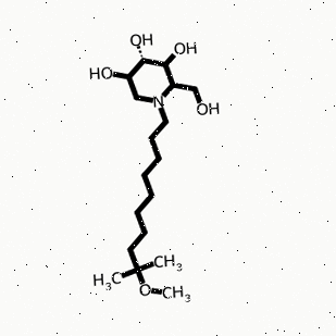 COC(C)(C)CCCCCCCCN1CC(O)[C@H](O)C(O)C1CO